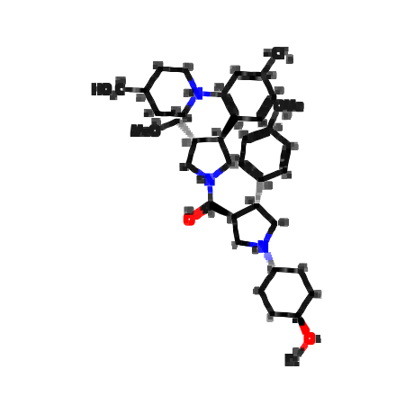 CCO[C@H]1CC[C@H](N2C[C@@H](C(=O)N3C[C@H](COC)[C@@H](c4ccc(C(F)(F)F)cc4N4CCC(C(=O)O)CC4)C3)[C@H](c3ccc(OC)cc3)C2)CC1